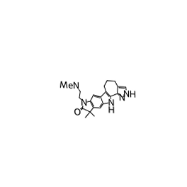 CNCCN1C(=O)C(C)(C)c2cc3[nH]c4c(c3cc21)CCCc1c[nH]nc1-4